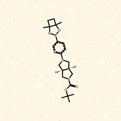 CC(C)(C)OC(=O)N1C[C@@H]2CN(c3ccc(B4OC5(C)CCC5(C)O4)cn3)C[C@@H]2C1